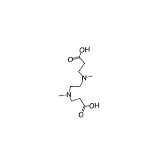 CN(CCC(=O)O)CCN(C)CCC(=O)O